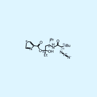 CC[C@H](C)[C@H](N=[N+]=[N-])C(=O)N[C@H](C[C@@](O)(CC)OC(=O)c1cscn1)C(C)C